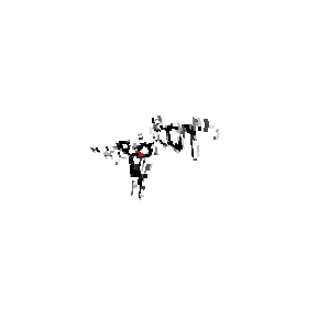 C[C@@H]1CCN(c2ncnc(NC[C@@H]3CCN(CC(N)=O)C[C@H]3O)c2F)[C@@]1(C)c1ccc(C(F)(F)F)nc1